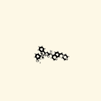 O=C(C[C@@H](NS(=O)(=O)c1cccc(C(F)(F)F)c1)c1ccccc1)N[C@@H]1CCOc2cc(CN3CCOCC3)ccc21